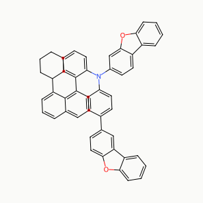 c1ccc(N(c2ccc(-c3ccc4oc5ccccc5c4c3)cc2)c2ccc3c(c2)oc2ccccc23)c(-c2cccc3cccc(C4CCCCC4)c23)c1